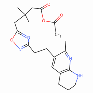 Cc1nc2c(cc1CCc1noc(CC(C)(C)CC(=O)OC(=O)C(F)(F)F)n1)CCCN2